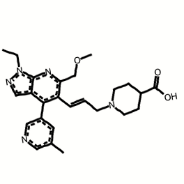 CCn1ncc2c(-c3cncc(C)c3)c(C=CCN3CCC(C(=O)O)CC3)c(COC)nc21